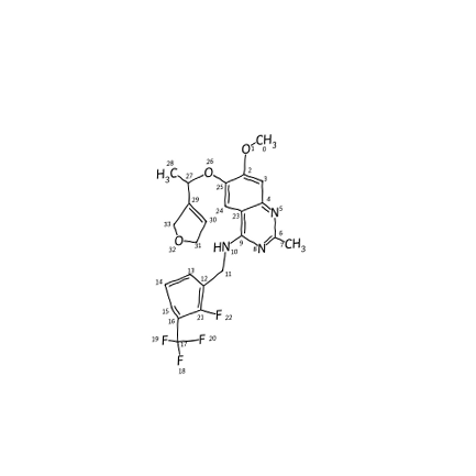 COc1cc2nc(C)nc(NCc3cccc(C(F)(F)F)c3F)c2cc1OC(C)C1=CCOC1